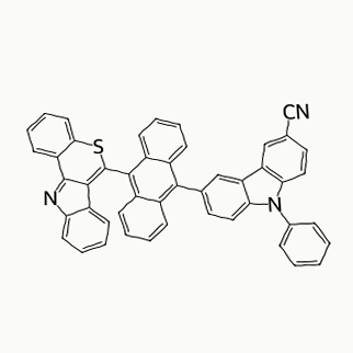 N#Cc1ccc2c(c1)c1cc(-c3c4ccccc4c(-c4sc5ccccc5c5nc6ccccc6c4-5)c4ccccc34)ccc1n2-c1ccccc1